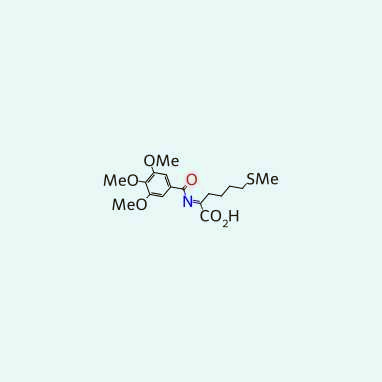 COc1cc(C(=O)N=C(CCCCSC)C(=O)O)cc(OC)c1OC